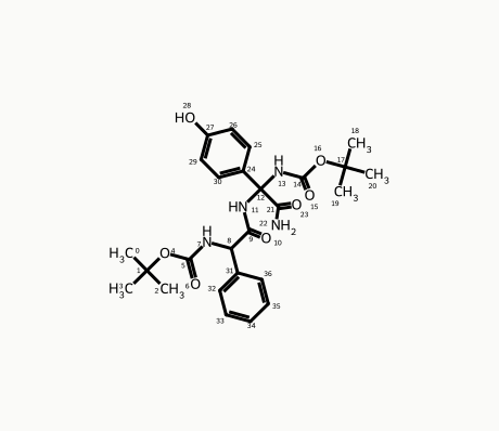 CC(C)(C)OC(=O)NC(C(=O)NC(NC(=O)OC(C)(C)C)(C(N)=O)c1ccc(O)cc1)c1ccccc1